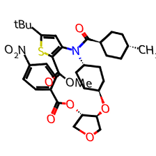 COC(=O)c1sc(C(C)(C)C)cc1N(C(=O)[C@H]1CC[C@H](C)CC1)[C@H]1CC[C@H](O[C@H]2COC[C@@H]2OC(=O)c2ccc([N+](=O)[O-])cc2)CC1